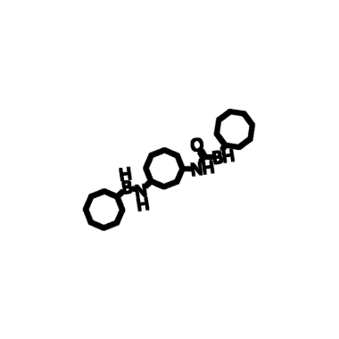 O=C(BC1CCCCCCC1)NC1CCCCC(NBC2CCCCCCC2)CC1